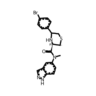 CN(C(=O)[C@@H]1[CH]SCC(c2ccc(Br)cc2)N1)c1ccc2[nH]ncc2c1